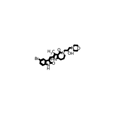 Cc1c(/C=C2\C(=O)Nc3ccc(Br)cc32)[nH]c2c1C(=O)N(C[C@H](O)CN1CCOCC1)CCC2